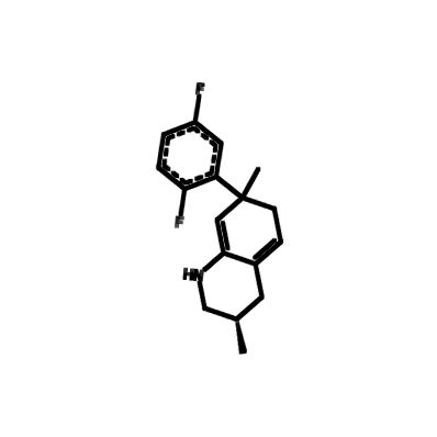 C[C@H]1CNC2=CC(C)(c3cc(F)ccc3F)CC=C2C1